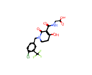 O=C(O)CNC(=O)C1=C(O)CCN(Cc2ccc(Cl)c(C(F)(F)F)c2)C1=O